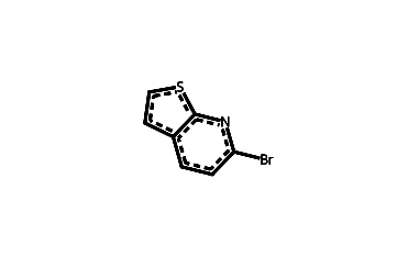 Brc1ccc2ccsc2n1